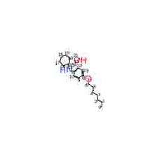 CCCCCCCOc1ccc(N[C@@]2(CO)CCCC[C@@H]2C)cc1